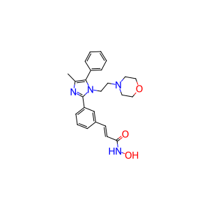 Cc1nc(-c2cccc(C=CC(=O)NO)c2)n(CCN2CCOCC2)c1-c1ccccc1